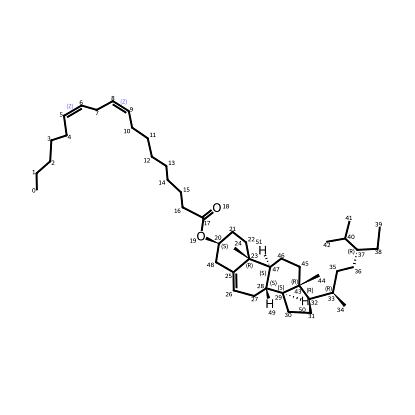 CCCCC/C=C\C/C=C\CCCCCCCC(=O)O[C@H]1CC[C@@]2(C)C(=CC[C@H]3[C@@H]4CC[C@H]([C@H](C)CC[C@@H](CC)C(C)C)[C@@]4(C)CC[C@@H]32)C1